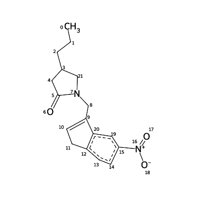 CCCC1CC(=O)N(CC2=CCc3ccc([N+](=O)[O-])cc32)C1